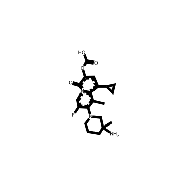 Cc1c(N2CCCC(C)(N)C2)c(F)cn2c(=O)c(OC(=O)O)cc(C3CC3)c12